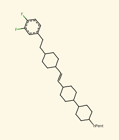 CCCCCC1CCC(C2CCC(/C=C/C3CCC(CCc4ccc(F)c(F)c4)CC3)CC2)CC1